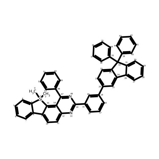 C[Si]1(C)c2ccccc2-c2ccc3nc(-c4cccc(-c5ccc6c(c5)-c5ccccc5C6(c5ccccc5)c5ccccc5)c4)nc(-c4ccccc4)c3c21